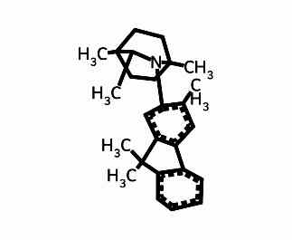 Cc1cc2c(cc1N1C(C)C3(C)CCC1(C)CC3)C(C)(C)c1ccccc1-2